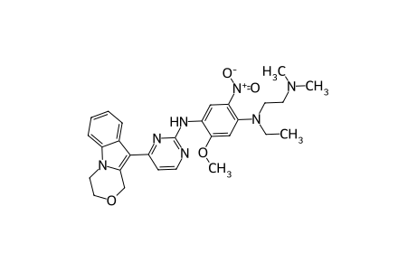 CCN(CCN(C)C)c1cc(OC)c(Nc2nccc(-c3c4n(c5ccccc35)CCOC4)n2)cc1[N+](=O)[O-]